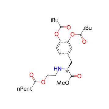 CCCCCC(=O)OCCN[C@@H](Cc1ccc(OC(=O)C(C)CC)c(OC(=O)C(C)CC)c1)C(=O)OC